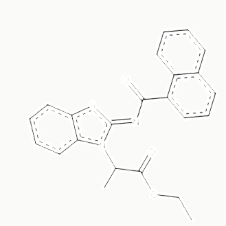 CCOC(=O)C(C)n1c(=NC(=O)c2cccc3ccccc23)sc2ccccc21